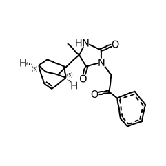 CC1(C2C[C@H]3C=C[C@@H]2CC3)NC(=O)N(CC(=O)c2ccccc2)C1=O